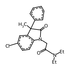 CCN(CC)C(=O)CN1C(=O)C(C)(c2ccccc2)c2cc(Cl)ccc21